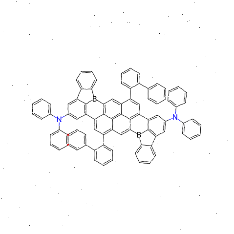 c1ccc(-c2ccccc2-c2cc3c4c(cc5c(-c6ccccc6-c6ccccc6)cc6c7c(cc2c4c57)B2c4ccccc4-c4cc(N(c5ccccc5)c5ccccc5)cc-6c42)B2c4ccccc4-c4cc(N(c5ccccc5)c5ccccc5)cc-3c42)cc1